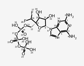 Nc1nc(N)c2ncn([C@@H]3O[C@@](COP(=O)(O)OP(=O)(O)OP(=O)(O)O)(C(F)F)[C@@H](O)[C@H]3O)c2n1